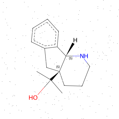 CC(C)(O)[C@]12CCCN[C@H]1c1ccccc1C2